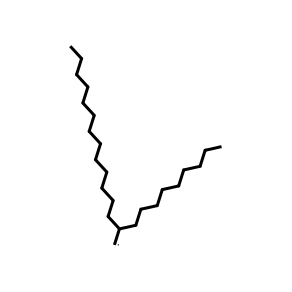 [CH2]C(CCCCCCCCC)CCCCCCCCCCCCC